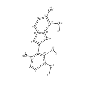 COc1ccc(O)c(-c2cc3ccc(O)c(OC)c3o2)c1OC